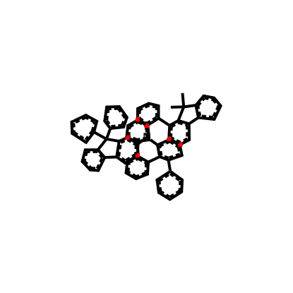 CC1(C)c2ccccc2-c2cccc(-c3ccccc3N(c3ccc4c(c3)C(c3ccccc3)(c3ccccc3)c3ccccc3-4)c3cccc(-c4ccccc4)c3-c3ccccc3-c3ccccc3)c21